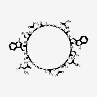 CCN[C@@H](C)C(=O)N[C@H]1CCCCNC(=O)C[C@@H](C(N)=O)NC(=O)[C@H](CC(N)=O)NC(=O)[C@H](CC(C)C)NC(=O)[C@H](Cc2c[nH]c3ccccc23)NC(=O)[C@@H](NC(=O)[C@H](C)CC)CCCCNC(=O)C[C@@H](C(N)=O)NC(=O)[C@H](CC(C)C)NC(=O)[C@H](Cc2c[nH]c3ccccc23)NC1=O